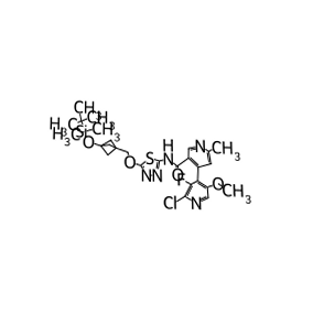 COc1cnc(Cl)c(F)c1-c1cc(C)ncc1C(=O)Nc1nnc(OCC23CC(O[Si](C)(C)C(C)(C)C)(C2)C3)s1